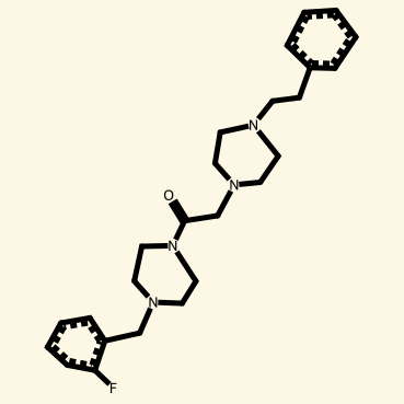 O=C(CN1CCN(CCc2ccccc2)CC1)N1CCN(Cc2ccccc2F)CC1